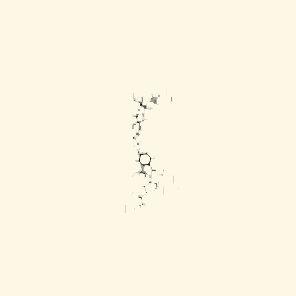 C=C(C)C(CCC(=O)CC)N1C(=O)c2ccc(OCCN3CC4(C3)CN(C(=O)OC(C)(C)C)C4)cc2C1=O